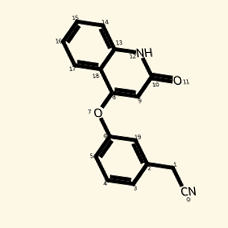 N#CCc1cccc(Oc2cc(=O)[nH]c3ccccc23)c1